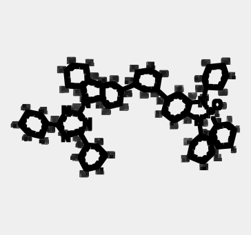 O=P1(c2ccccc2)N(c2ccccc2)c2ccc(-c3cccc(-c4ccc5c(c4)c4ccccc4n5-c4nc(-c5ccccc5)nc(-c5ccccc5)n4)c3)cc2N1c1ccccc1